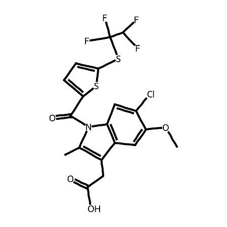 COc1cc2c(CC(=O)O)c(C)n(C(=O)c3ccc(SC(F)(F)C(F)F)s3)c2cc1Cl